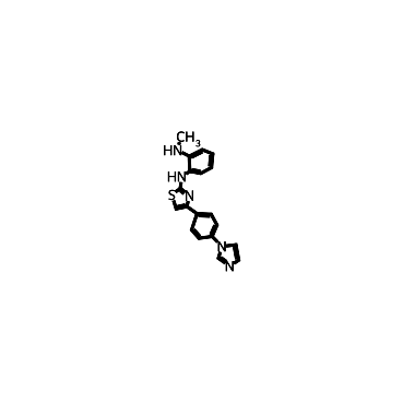 CNc1ccccc1Nc1nc(-c2ccc(-n3ccnc3)cc2)cs1